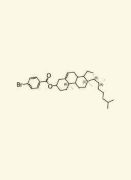 CC(C)CCC[C@@H](C)[C@H]1CCC2C3CC=C4CC(OC(=O)c5ccc(Br)cc5)CC[C@]4(C)C3CC[C@@]21C